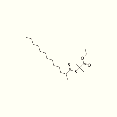 CCCCCCCCCCCC(C)C(=S)SC(C)(C)C(=O)OCC